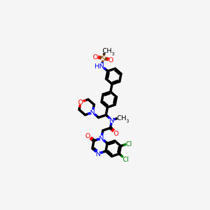 CN(C(=O)Cn1c(=O)cnc2cc(Cl)c(Cl)cc21)C(CN1CCOCC1)c1ccc(-c2cccc(NS(C)(=O)=O)c2)cc1